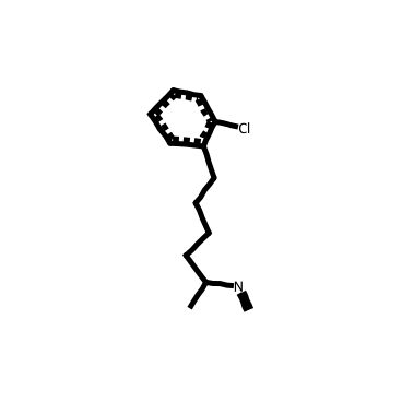 C=NC(C)CCCCc1ccccc1Cl